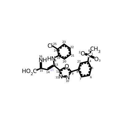 CS(=O)(=O)c1cccc(-c2nnc(/C(=C/C(=N)C(=O)O)Nc3ccccc3Cl)o2)c1